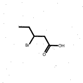 CCC(Br)CC(=O)O